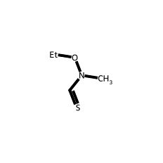 CCON(C)C=S